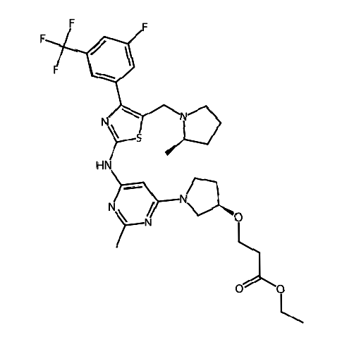 CCOC(=O)CCO[C@@H]1CCN(c2cc(Nc3nc(-c4cc(F)cc(C(F)(F)F)c4)c(CN4CCC[C@H]4C)s3)nc(C)n2)C1